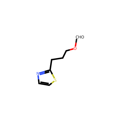 O=COCCCc1nccs1